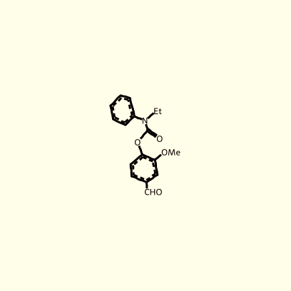 CCN(C(=O)Oc1ccc(C=O)cc1OC)c1ccccc1